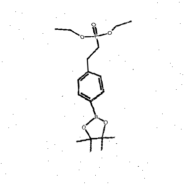 CCOP(=O)(CCc1ccc(B2OC(C)(C)C(C)(C)O2)cc1)OCC